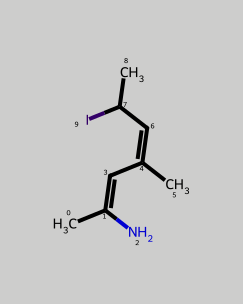 C/C(N)=C/C(C)=C\C(C)I